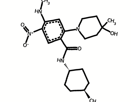 CNc1cc(N2CCC(C)(O)CC2)c(C(=O)N[C@H]2CC[C@H](C)CC2)cc1[N+](=O)[O-]